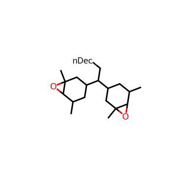 CCCCCCCCCCCC(C1CC(C)C2OC2(C)C1)C1CC(C)C2OC2(C)C1